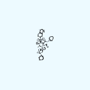 CC(CS(=O)(=O)CC(=O)c1ccccc1)C(=O)N([C@H](N)[C@@H](C)Cc1ccccc1)S(=O)(=O)c1ccc2scnc2c1